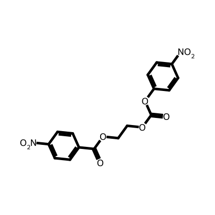 O=C(OCCOC(=O)c1ccc([N+](=O)[O-])cc1)Oc1ccc([N+](=O)[O-])cc1